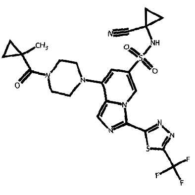 CC1(C(=O)N2CCN(c3cc(S(=O)(=O)NC4(C#N)CC4)cn4c(-c5nnc(C(F)(F)F)s5)ncc34)CC2)CC1